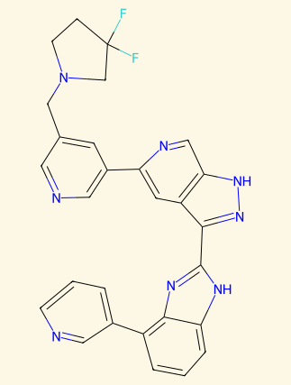 FC1(F)CCN(Cc2cncc(-c3cc4c(-c5nc6c(-c7cccnc7)cccc6[nH]5)n[nH]c4cn3)c2)C1